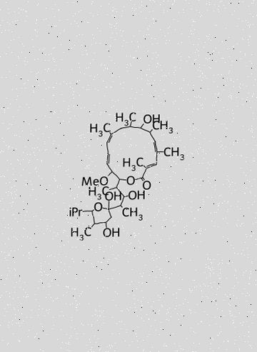 COC1/C=C/C=C(/C)CC(C)C(O)C(C)/C=C(C)\C=C(/C)C(=O)OC1C(C)C(O)C(C)C1(O)CC(O)C(C)C(C(C)C)O1